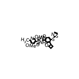 COc1cc(C)nc(OC)c1S(=O)(=O)Nc1noc2cc(Sc3nccs3)c3c(c12)OC1CCC31